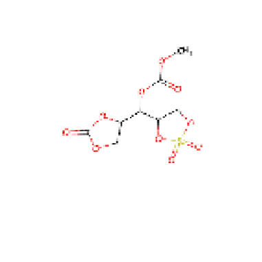 COC(=O)OC(C1COC(=O)O1)C1COS(=O)(=O)O1